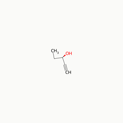 C#C[C@H](O)CC